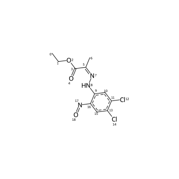 CCOC(=O)C(C)=NNc1cc(Cl)c(Cl)cc1N=O